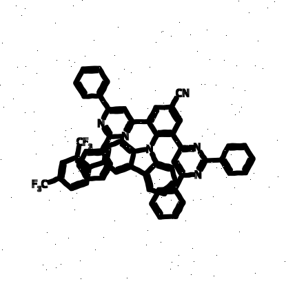 N#Cc1cc(-c2cc(-c3ccccc3)nc(-c3ccccc3)n2)c(-n2c3ccccc3c3cc(-c4ccc(C(F)(F)F)cc4C(F)(F)F)ccc32)c(-c2cc(-c3ccccc3)nc(-c3ccccc3)n2)c1